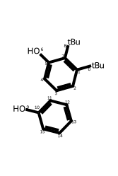 CC(C)(C)c1cccc(O)c1C(C)(C)C.Oc1ccccc1